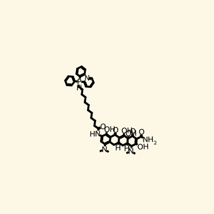 CN(C)c1cc(NC(=O)CCCCCCCCCCC[PH](c2ccccc2)(c2ccccc2)c2ccccn2)c(O)c2c1C[C@H]1C[C@H]3[C@H](N(C)C)C(O)=C(C(N)=O)C(=O)[C@@]3(O)C(O)=C1C2=O